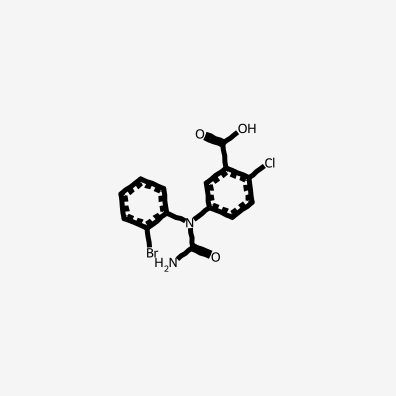 NC(=O)N(c1ccc(Cl)c(C(=O)O)c1)c1ccccc1Br